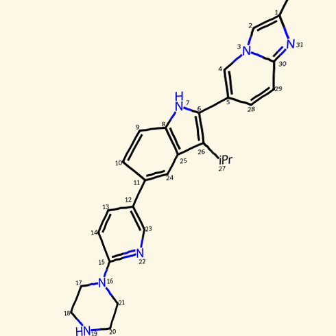 Cc1cn2cc(-c3[nH]c4ccc(-c5ccc(N6CCNCC6)nc5)cc4c3C(C)C)ccc2n1